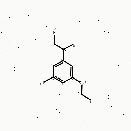 CCOc1cc(I)cc([C](C)CF)c1